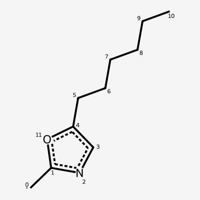 [CH2]c1ncc(CCCCCC)o1